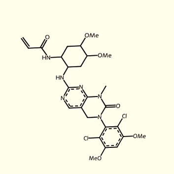 C=CC(=O)NC1CC(OC)C(OC)CC1Nc1ncc2c(n1)N(C)C(=O)N(c1c(Cl)c(OC)cc(OC)c1Cl)C2